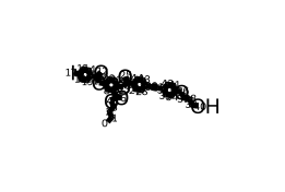 CCCCOC(=O)c1cc(OC(=O)c2ccc(I)cc2)ccc1OC(=O)c1ccc(C#Cc2ccc(OCCCO)cc2)cc1